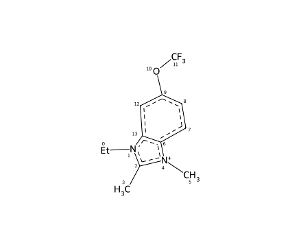 CCn1c(C)[n+](C)c2ccc(OC(F)(F)F)cc21